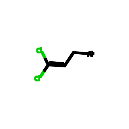 [Al][CH2]C=C(Cl)Cl